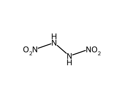 O=[N+]([O-])NN[N+](=O)[O-]